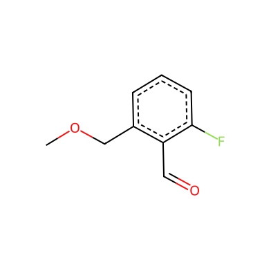 COCc1cccc(F)c1C=O